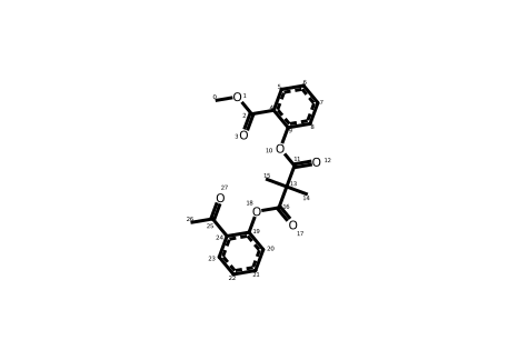 COC(=O)c1ccccc1OC(=O)C(C)(C)C(=O)Oc1ccccc1C(C)=O